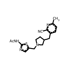 CC(=O)Nc1ncc(CN2CCC(Cc3ccc(C)nc3C#N)C2)s1